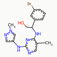 Cc1cnc(Nc2cnn(C)c2)nc1NC(CO)c1cccc(Br)c1